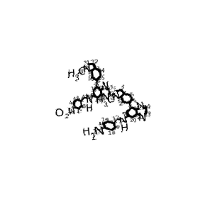 Cn1ccc2ccc(-c3cc(NCc4ccc(N)cc4)cc4nccnc34)cc21.Cn1ccc2ccc(-c3cc(NCc4ccc([N+](=O)[O-])cc4)cc4nccnc34)cc21